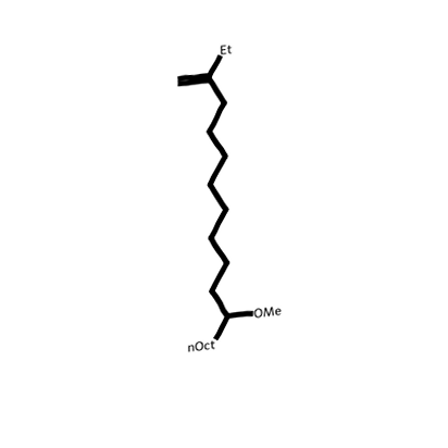 C=C(CC)CCCCCCCCC(CCCCCCCC)OC